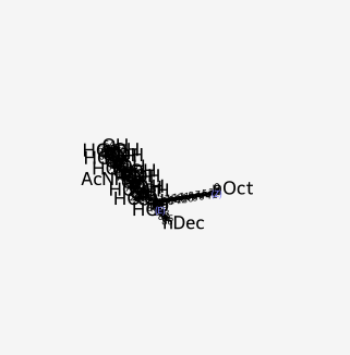 CCCCCCCC/C=C\CCCCCCCCCCCCCCCC(=O)N[C@@H](CO[C@@H]1OC(CO)[C@@H](O[C@@H]2OC(CO)[C@H](O)[C@H](O[C@@H]3OC(CO)[C@@H](O)[C@H](O[C@@H]4OC(CO)[C@H](O)[C@H](O[C@H]5OC(CO)[C@H](O)[C@H](O)C5O)C4O)C3NC(C)=O)C2O)[C@H](O)C1O)[C@H](O)/C=C/CCCCCCCCCCCCC